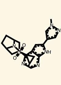 Cn1cc(-c2cc3c(N4CC5CCC(C4)N5S(=O)(=O)C4CC4)ncnc3[nH]2)cn1